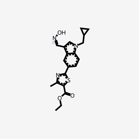 CCOC(=O)c1sc(-c2ccc3c(c2)c(/C=N\O)cn3CC2CC2)nc1C